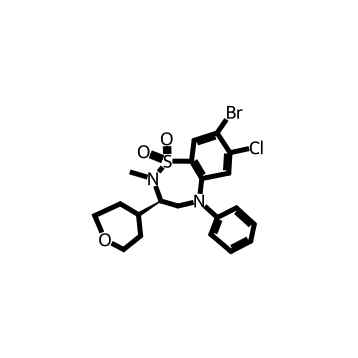 CN1[C@H](C2CCOCC2)CN(c2ccccc2)c2cc(Cl)c(Br)cc2S1(=O)=O